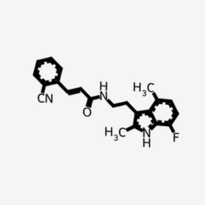 Cc1[nH]c2c(F)ccc(C)c2c1CCNC(=O)/C=C/c1ccccc1C#N